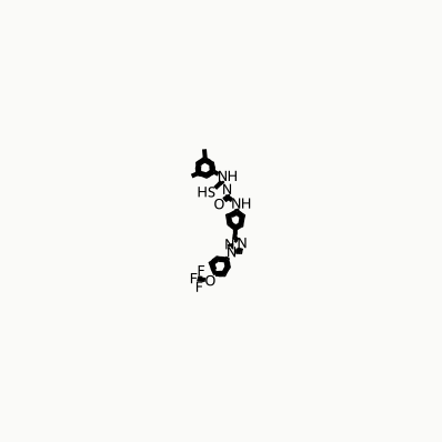 Cc1cc(C)cc(N/C(S)=N/C(=O)Nc2ccc(-c3ncn(-c4ccc(OC(F)(F)F)cc4)n3)cc2)c1